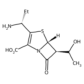 CC[C@@H](N)C1=C(C(=O)O)N2C(=O)[C@H](C(C)O)[C@H]2S1